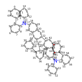 c1ccc(-c2ccccc2N(c2ccccc2)c2ccc3cc4c(cc3c2)C2(c3ccccc3-c3ccccc32)c2c-4ccc3cc(N(c4ccccc4)c4ccccc4-c4ccccc4)ccc23)cc1